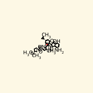 Cc1cc(S(=O)(=O)N2CC[C@H](N(C)C)C2)[nH]c1C(=O)NC12C(=O)c3c(N)cccc3C1(O)Oc1cc([C@@H]3C[C@H]3C)ccc12